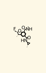 CNC(=O)c1cc(C(=O)N[C@H]2C[C@@H]2C)cc2c1O[C@H](CF)[C@H]2C